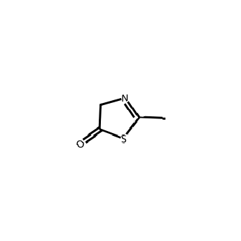 CC1=NCC(=O)S1